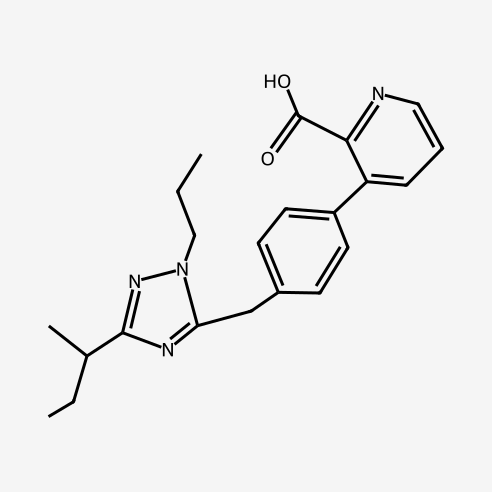 CCCn1nc(C(C)CC)nc1Cc1ccc(-c2cccnc2C(=O)O)cc1